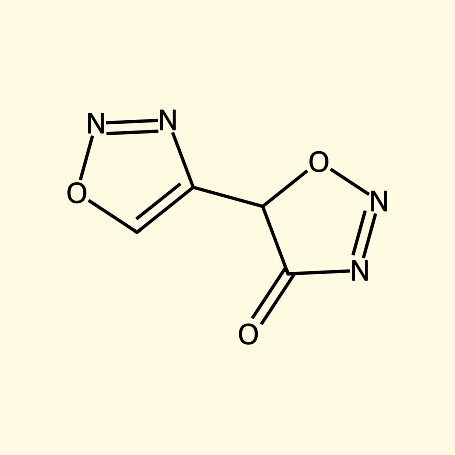 O=C1N=NOC1c1conn1